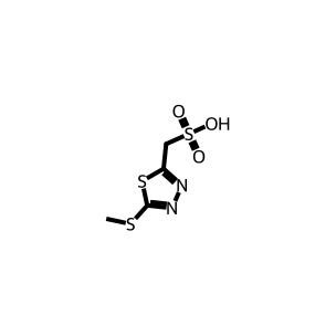 CSc1nnc(CS(=O)(=O)O)s1